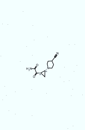 N#CC1CCN([C@@H]2C[C@H]2C(=O)C(N)=O)CC1